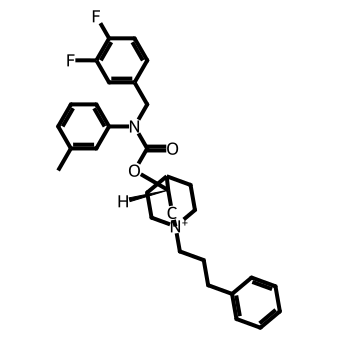 Cc1cccc(N(Cc2ccc(F)c(F)c2)C(=O)O[C@H]2C[N+]3(CCCc4ccccc4)CCC2CC3)c1